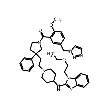 CCOCCn1c(NC2CCN(CCC3(c4ccccc4)CCN(C(=O)c4cc(Cn5ccnn5)ccc4OC)C3)CC2)nc2ccccc21